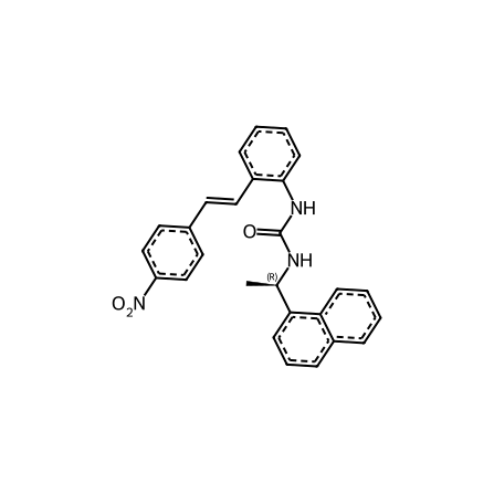 C[C@@H](NC(=O)Nc1ccccc1C=Cc1ccc([N+](=O)[O-])cc1)c1cccc2ccccc12